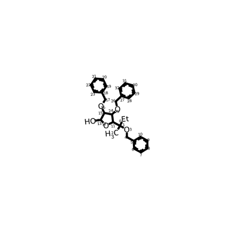 CCC(C)(OCc1ccccc1)C1OC(O)C(OCc2ccccc2)C1OCc1ccccc1